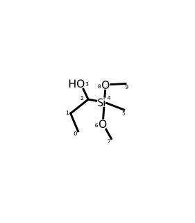 CCC(O)[Si](C)(OC)OC